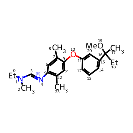 CCN(C)/C=N/c1cc(C)c(Oc2cccc(C(C)(CC)OC)c2)cc1C